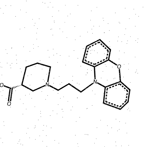 O=C(O)[C@@H]1CCCN(CCCN2c3ccccc3Oc3ccccc32)C1